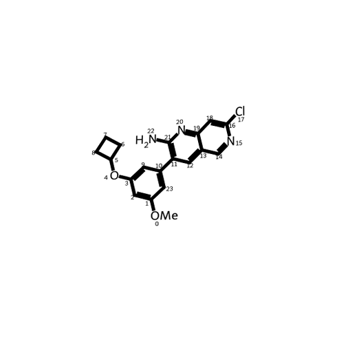 COc1cc(OC2CCC2)cc(-c2cc3cnc(Cl)cc3nc2N)c1